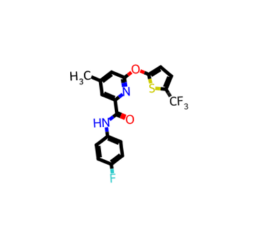 Cc1cc(Oc2ccc(C(F)(F)F)s2)nc(C(=O)Nc2ccc(F)cc2)c1